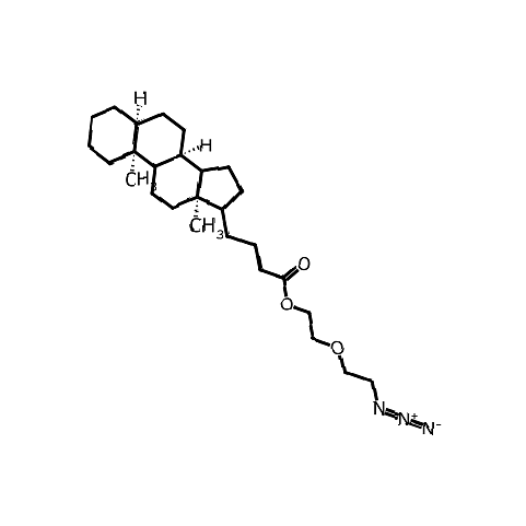 C[C@]12CCC3[C@@H](CC[C@@H]4CCCC[C@]34C)C1CCC2CCCC(=O)OCCOCCN=[N+]=[N-]